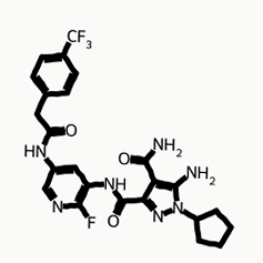 NC(=O)c1c(C(=O)Nc2cc(NC(=O)Cc3ccc(C(F)(F)F)cc3)cnc2F)nn(C2CCCC2)c1N